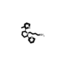 Cc1cccnc1[C@@H]1CCC[C@H](c2ccccn2)N1CCCCN